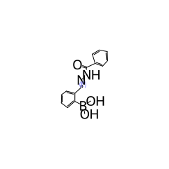 O=C(N/N=C/c1ccccc1B(O)O)c1ccccc1